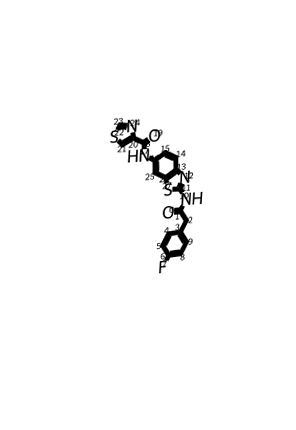 O=C(Cc1ccc(F)cc1)Nc1nc2ccc(NC(=O)c3cscn3)cc2s1